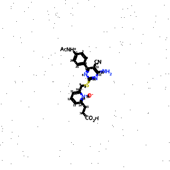 CC(=O)Nc1ccc(-c2nc(SCc3cccc(CCC(=O)O)[n+]3[O-])nc(N)c2C#N)cc1